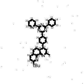 Cc1cc(-c2ccc(-c3nc(-c4ccccc4)nc(-c4ccccn4)n3)cc2)c2ccc3ccc(C(C)(C)C)nc3c2n1